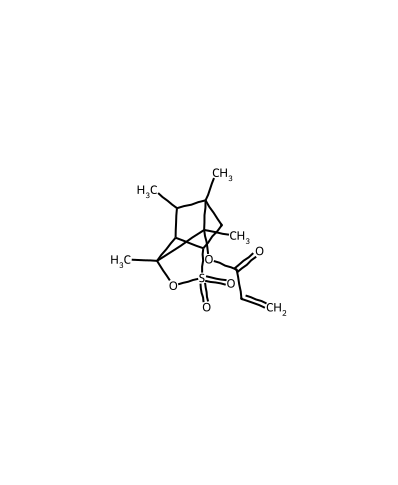 C=CC(=O)OC1(C)C2(C)CC3C(C2C)C1(C)OS3(=O)=O